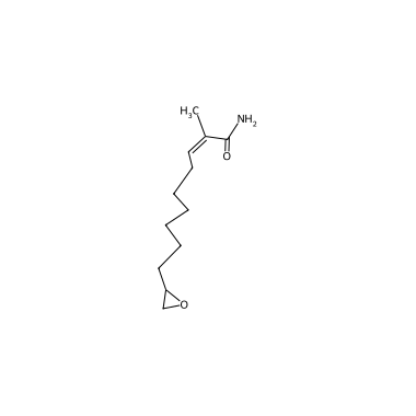 CC(=CCCCCCCC1CO1)C(N)=O